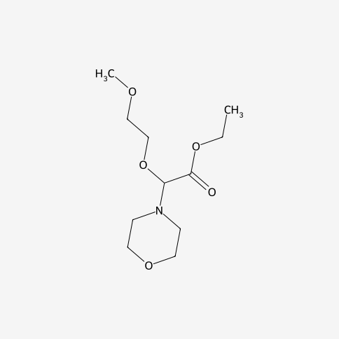 CCOC(=O)C(OCCOC)N1CCOCC1